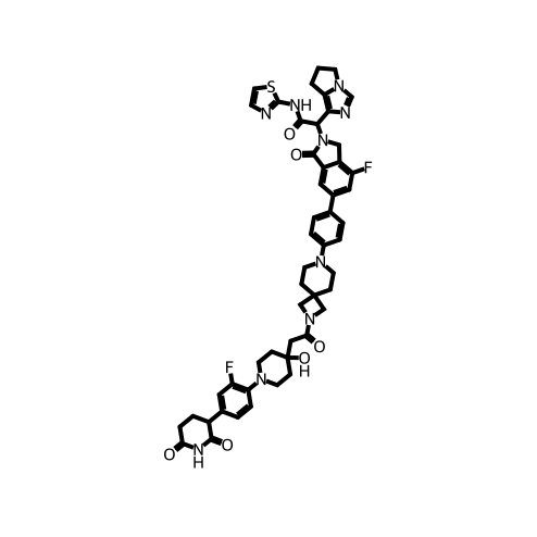 O=C1CCC(c2ccc(N3CCC(O)(CC(=O)N4CC5(CCN(c6ccc(-c7cc(F)c8c(c7)C(=O)N(C(C(=O)Nc7nccs7)c7ncn9c7CCC9)C8)cc6)CC5)C4)CC3)c(F)c2)C(=O)N1